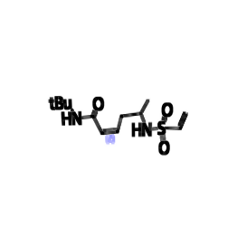 C=CS(=O)(=O)NC(C)C/C=C\C(=O)NC(C)(C)C